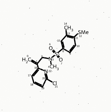 C=C(CN(C)S(=O)(=O)c1ccc(SC)c(C)c1)c1cccc(Cl)n1